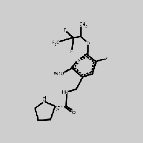 COc1nc(OC(C)C(F)(F)C(F)(F)F)c(F)cc1CNC(=O)[C@@H]1CCCN1